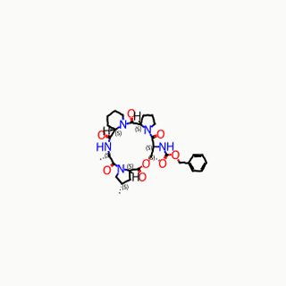 C[C@H]1C[C@H]2C(=O)O[C@@H](C)[C@H](NC(=O)OCc3ccccc3)C(=O)N3CCC[C@H]3C(=O)N3CCCC[C@H]3C(=O)N[C@@H](C)C(=O)N2C1